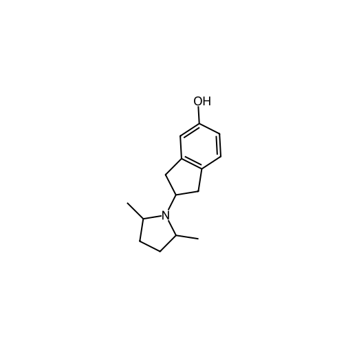 CC1CCC(C)N1C1Cc2ccc(O)cc2C1